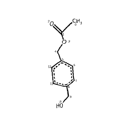 CC(=O)OCc1ccc(CO)cc1